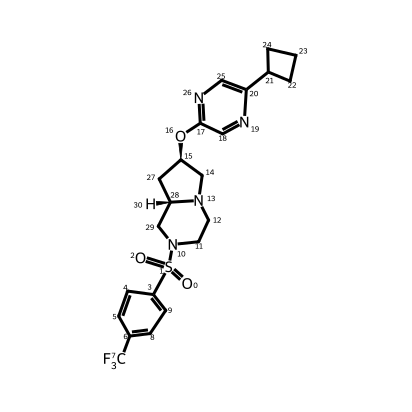 O=S(=O)(c1ccc(C(F)(F)F)cc1)N1CCN2C[C@H](Oc3cnc(C4CCC4)cn3)C[C@H]2C1